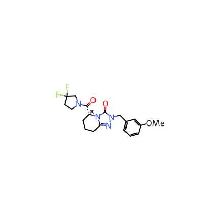 COc1cccc(Cn2nc3n(c2=O)[C@@H](C(=O)N2CCC(F)(F)C2)CCC3)c1